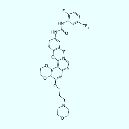 O=C(Nc1ccc(Oc2ncnc3cc(OCCCN4CCOCC4)c4c(c23)OCCO4)c(F)c1)Nc1cc(C(F)(F)F)ccc1F